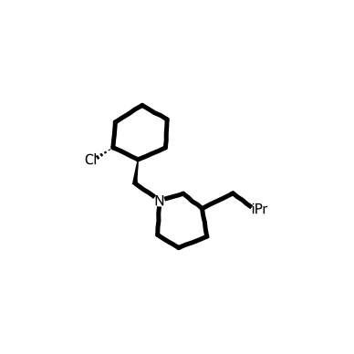 CC(C)CC1CCCN(C[C@@H]2CCCC[C@H]2Cl)C1